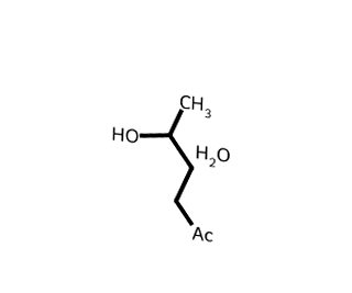 CC(=O)CCC(C)O.O